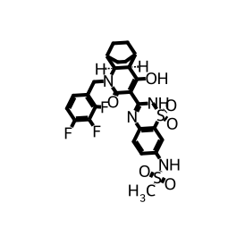 CS(=O)(=O)Nc1ccc2c(c1)S(=O)(=O)NC(C1=C(O)[C@@H]3C4CCC(CC4)[C@@H]3N(Cc3ccc(F)c(F)c3F)C1=O)=N2